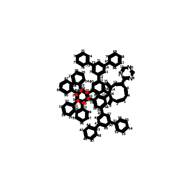 C=C1\C=C/C=C\C(c2ncncn2)=C/C(=C)C1(c1cc(-c2cc(-c3ccccc3)cc(-c3ccccc3)c2)cc(-c2cc(-c3ccccc3)cc(-c3ccccc3)c2)c1)c1cc(-c2cc(-c3ccccc3)cc(-c3ccccc3)c2)cc(-c2cc(-c3ccccc3)cc(-c3ccccc3)c2)c1